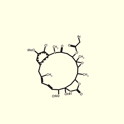 COc1cc2cc(c1Cl)N(C)C(=O)CC(OC(=O)CC(C)=O)C1(C)OC1C(C)C1CC(O)(NC(=O)O1)C(OC)/C=C/C=C(\C)C2